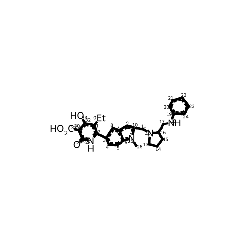 CCc1c(-c2ccc3c(c2)cc(CN2CCCC2CNc2ccccc2)n3C)[nH]c(=O)c(C(=O)O)c1O